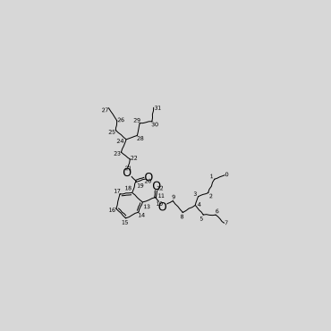 CCCCC(CCC)CCOC(=O)c1ccccc1C(=O)OCCC(CCC)CCCC